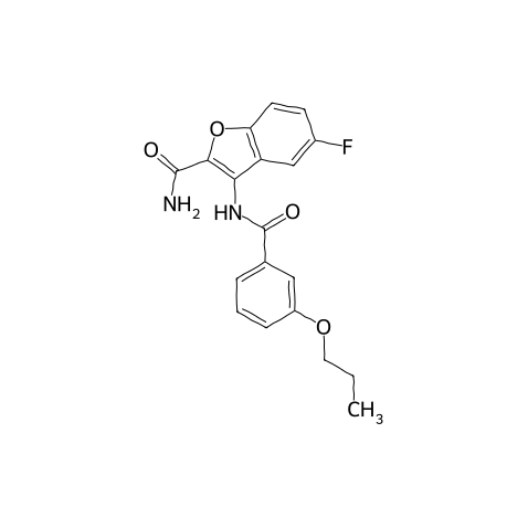 CCCOc1cccc(C(=O)Nc2c(C(N)=O)oc3ccc(F)cc23)c1